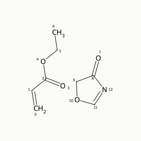 C=CC(=O)OCC.O=C1COC=N1